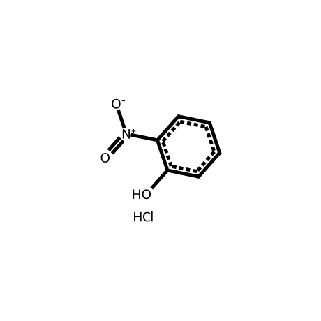 Cl.O=[N+]([O-])c1ccccc1O